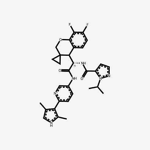 Cc1c[nH]c(C)c1-c1ccc(NC(=O)[C@@H](NC(=O)c2ccnn2C(C)C)C2c3ccc(F)c(F)c3OCC23CC3)cn1